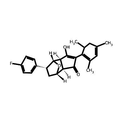 CC1=CC(C)=C(C2=C(O)[C@@H]3[C@@H]4O[C@@H](C[C@@H]4c4ccc(F)cc4)[C@@H]3C2=O)C(C)C1